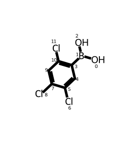 OB(O)c1cc(Cl)c(Cl)cc1Cl